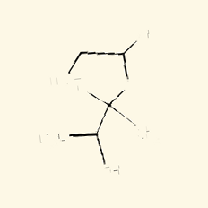 CC(CO)OC(C)(C)C(C)O